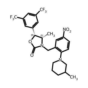 CC1CCCN(c2ccc([N+](=O)[O-])cc2CN2C(=O)O[C@H](c3cc(C(F)(F)F)cc(C(F)(F)F)c3)[C@@H]2C)C1